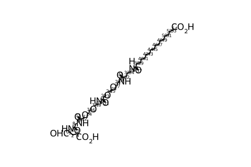 O=CC(CCC(=O)O)NC(=O)CNC(=O)COCCOCCNC(=O)COCCOCCNC(=O)CCCNC(=O)CCCCCCCCCCCCCCCCC(=O)O